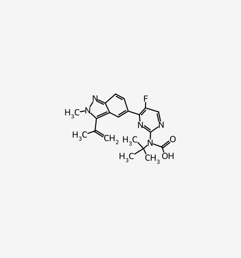 C=C(C)c1c2cc(-c3nc(N(C(=O)O)C(C)(C)C)ncc3F)ccc2nn1C